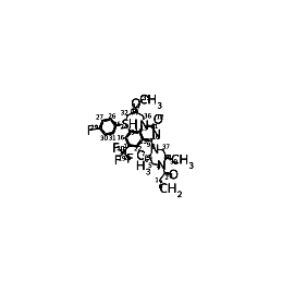 C=CC(=O)N1C[C@H](C)N(c2nc(=O)n3c4c(cc(C(F)(F)F)cc24)[SH](c2ccc(F)cc2)C[C@@H](OC)C3)C[C@H]1C